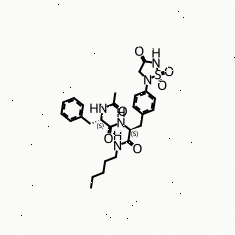 CCCCCNC(=O)[C@H](Cc1ccc(N2CC(=O)NS2(=O)=O)cc1)NC(=O)[C@H](Cc1ccccc1)NC(C)=O